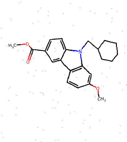 COC(=O)c1ccc2c(c1)c1ccc(OC)cc1n2CC1CCCCC1